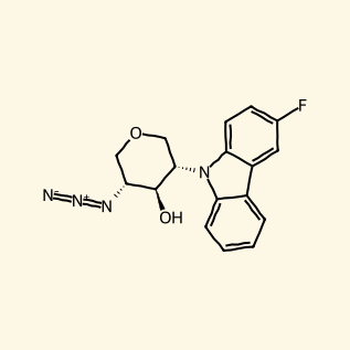 [N-]=[N+]=N[C@@H]1COC[C@H](n2c3ccccc3c3cc(F)ccc32)[C@H]1O